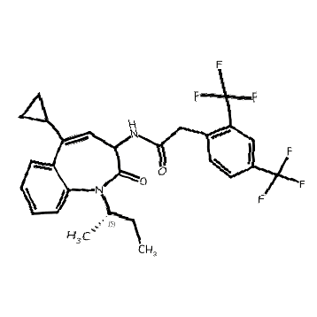 CC[C@H](C)N1C(=O)C(NC(=O)Cc2ccc(C(F)(F)F)cc2C(F)(F)F)C=C(C2CC2)c2ccccc21